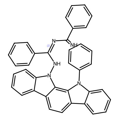 N=C(/N=C(\Nn1c2ccccc2c2ccc3c4ccccc4n(-c4ccccc4)c3c21)c1ccccc1)c1ccccc1